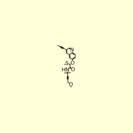 CC#Cc1cnc2ccc(OC(SC)C(=O)NC(C)(C)C#CCOC)cc2c1